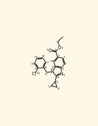 CCOC(=O)c1ccc2nc(C3CC3)n(Cc3ccccc3Cl)c2c1